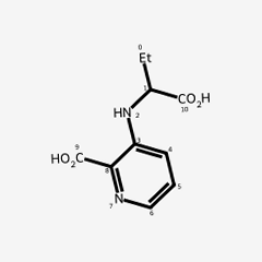 CCC(Nc1cccnc1C(=O)O)C(=O)O